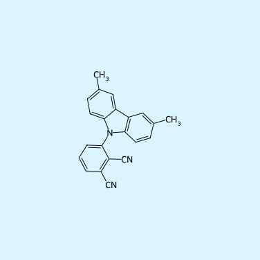 Cc1ccc2c(c1)c1cc(C)ccc1n2-c1cccc(C#N)c1C#N